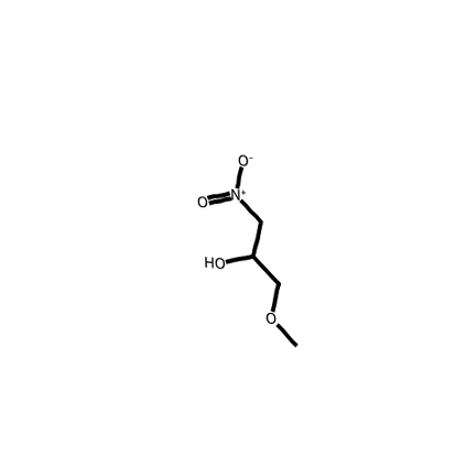 COCC(O)C[N+](=O)[O-]